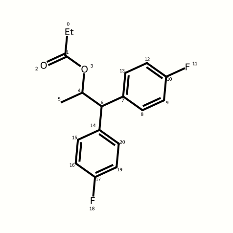 CCC(=O)OC(C)C(c1ccc(F)cc1)c1ccc(F)cc1